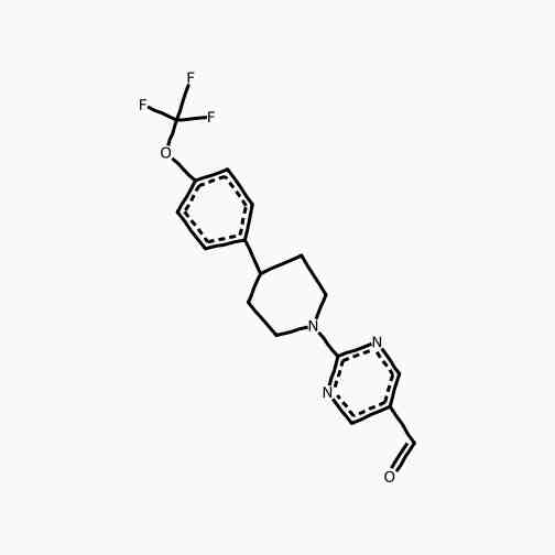 O=Cc1cnc(N2CCC(c3ccc(OC(F)(F)F)cc3)CC2)nc1